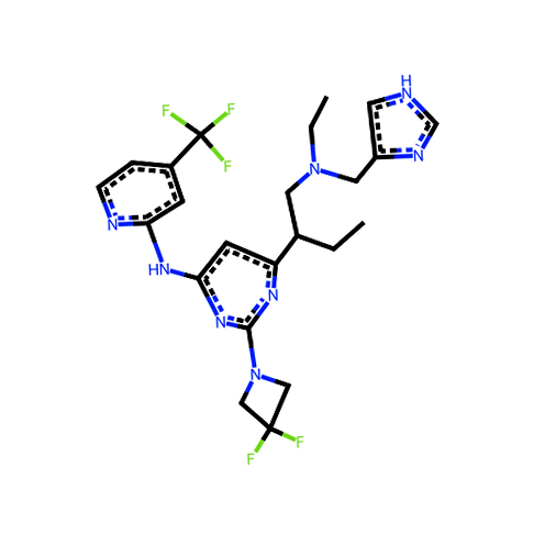 CCC(CN(CC)Cc1c[nH]cn1)c1cc(Nc2cc(C(F)(F)F)ccn2)nc(N2CC(F)(F)C2)n1